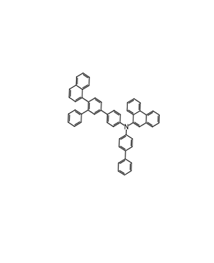 c1ccc(-c2ccc(N(c3ccc(-c4ccc(-c5cccc6ccccc56)c(-c5ccccc5)c4)cc3)c3cc4ccccc4c4ccccc34)cc2)cc1